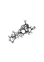 COC1(OC2CC[C@H]3[C@@H]4CC=C5CC(=O)CC(C)[C@]5(COC(C)=O)[C@@H]4CC[C@]23C)CCCCC1